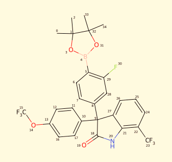 CC1(C)OB(c2ccc(C3(c4ccc(OC(F)(F)F)cc4)C(=O)Nc4c(C(F)(F)F)cccc43)cc2F)OC1(C)C